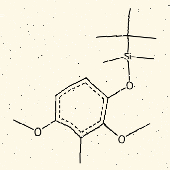 COc1ccc(O[Si](C)(C)C(C)(C)C)c(OC)c1C